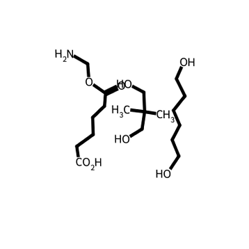 CC(C)(CO)CO.NCOC(=O)CCCCC(=O)O.OCCCCCCO